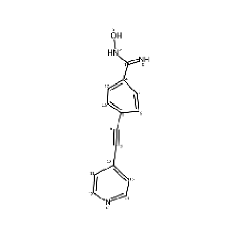 N=C(NO)c1ccc(C#Cc2ccncc2)cc1